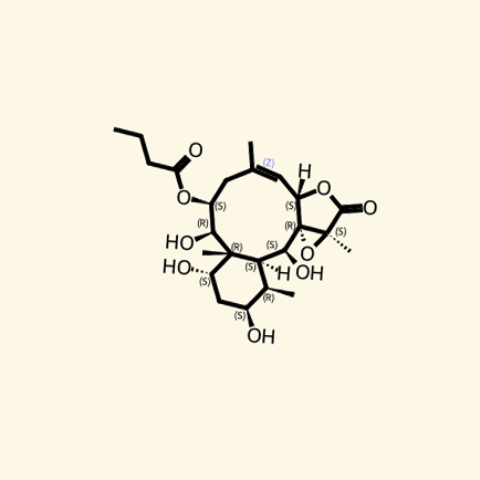 CCCC(=O)O[C@H]1C/C(C)=C\[C@@H]2OC(=O)[C@@]3(C)O[C@]23[C@@H](O)[C@H]2[C@@H](C)[C@@H](O)C[C@H](O)[C@]2(C)[C@H]1O